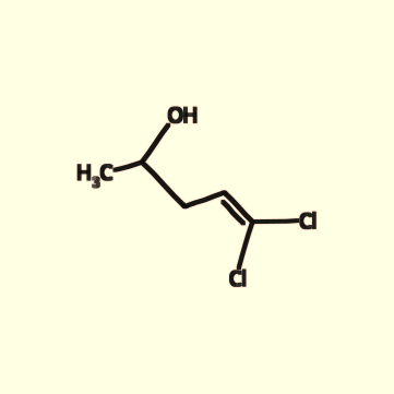 CC(O)CC=C(Cl)Cl